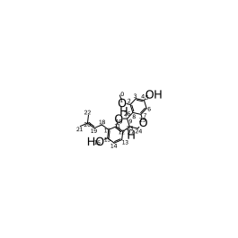 COc1cc(O)cc2c1[C@@H]1Oc3c(ccc(O)c3CC=C(C)C)[C@@H]1CO2